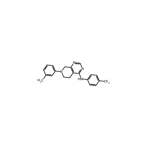 Cc1cccc(N2CCc3c(ncnc3Nc3ccc(C(F)(F)F)cc3)C2)c1